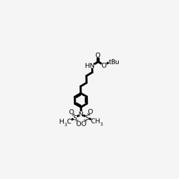 CC(C)(C)OC(=O)NCCCCc1ccc(N(S(C)(=O)=O)S(C)(=O)=O)cc1